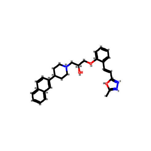 Cc1nnc(C=Cc2ccccc2OC[C@@H](O)CN2CCC(c3ccc4ccccc4c3)CC2)o1